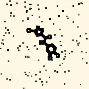 CCn1cc(NC(=O)c2cc(Cl)ns2)ccc1=O